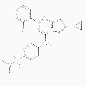 CN(C)S(=O)(=O)c1ccc(Nc2cc(-c3ccccc3F)nc3cc(C4CC4)nn23)cc1